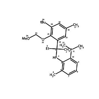 CCC(C)(Pc1c(C)cccc1P(C)C)c1cc(C)cc(C(C)(C)C)c1OCOC